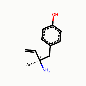 C=C[C@](N)(Cc1ccc(O)cc1)C(C)=O